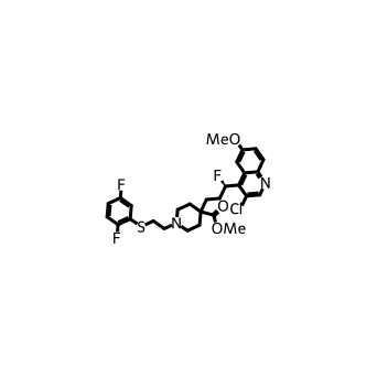 COC(=O)C1(CC[C@@H](F)c2c(Cl)cnc3ccc(OC)cc23)CCN(CCSc2cc(F)ccc2F)CC1